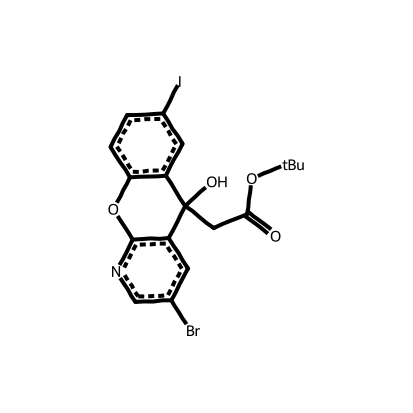 CC(C)(C)OC(=O)CC1(O)c2cc(I)ccc2Oc2ncc(Br)cc21